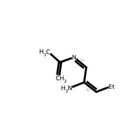 C=C(C)/N=C\C(N)=C/CC